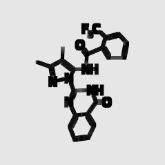 Cc1nn(-c2nc3ccccc3c(=O)[nH]2)c(NC(=O)c2ccccc2C(F)(F)F)c1C